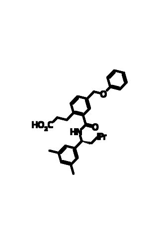 Cc1cc(C)cc([C@@H](CC(C)C)NC(=O)c2cc(COc3ccccc3)ccc2CCC(=O)O)c1